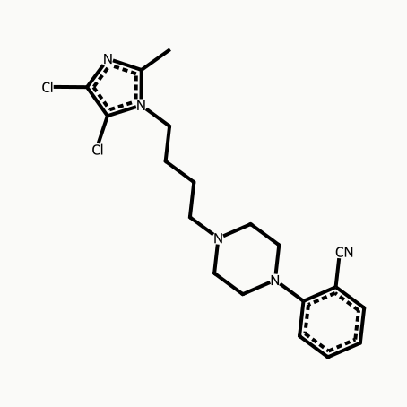 Cc1nc(Cl)c(Cl)n1CCCCN1CCN(c2ccccc2C#N)CC1